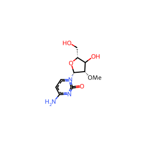 CO[C@H]1C(O)[C@@H](CO)O[C@H]1n1ccc(N)nc1=O